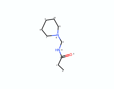 CCC(=O)NCN1CCCCC1